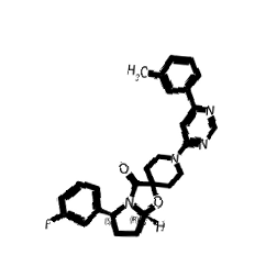 Cc1cccc(-c2cc(N3CCC4(CC3)O[C@@H]3CC[C@@H](c5cccc(F)c5)N3C4=O)ncn2)c1